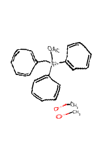 CC(=O)[O][Ti+2]([c]1ccccc1)([c]1ccccc1)[c]1ccccc1.C[O-].C[O-]